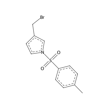 Cc1ccc(S(=O)(=O)n2ccc(CBr)c2)cc1